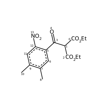 CCOC(=O)C(C(=O)OCC)C(=O)c1cc(C)c(C)cc1[N+](=O)[O-]